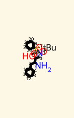 CC(C)(C)ON(C[C@@H](O)[C@@H](N)Cc1ccccc1)S(=O)(=O)c1ccccc1